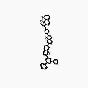 c1ccc(-c2cc(-c3ccccc3)cc(-c3ccc4ccc(-c5ccc6ccc(-c7ccc(-c8ccnc9c8ccc8cccnc89)cc7)nc6c5)cc4n3)c2)cc1